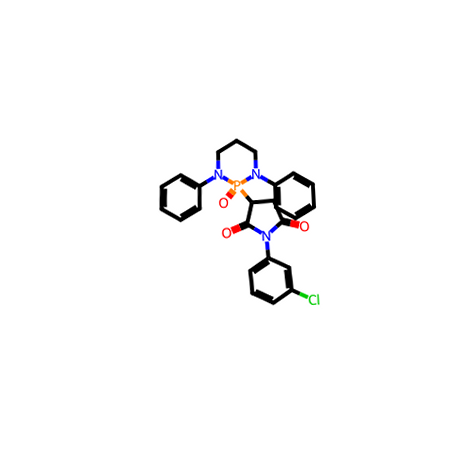 O=C1CC(P2(=O)N(c3ccccc3)CCCN2c2ccccc2)C(=O)N1c1cccc(Cl)c1